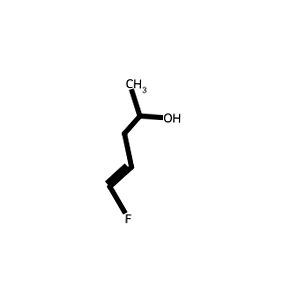 CC(O)CC=CF